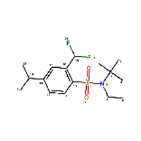 CCN(C(C)(C)C)S(=O)(=O)c1ccc(C(C)C)cc1C(F)F